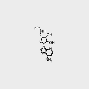 CCCNC[C@H]1O[C@@H](n2cnc3c(N)ccnc32)[C@H](O)[C@@H]1O